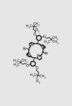 CC(C)(C)CCOc1cc(OCCC(C)(C)C)cc(-c2c3nc(c(Br)c4ccc([nH]4)c(-c4cc(OCCC(C)(C)C)cc(OCCC(C)(C)C)c4)c4nc(c(Br)c5ccc2[nH]5)C=C4)C=C3)c1